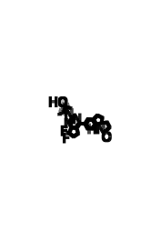 C[C@H]1[C@H](O)CN1c1nc(-c2ccc3c(c2)CCC32CCC(=O)N2)c2c(n1)C(F)(F)CC2